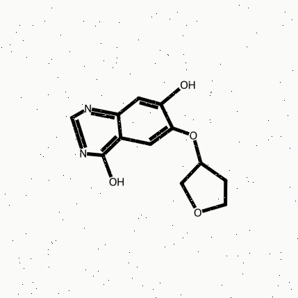 Oc1cc2ncnc(O)c2cc1OC1CCOC1